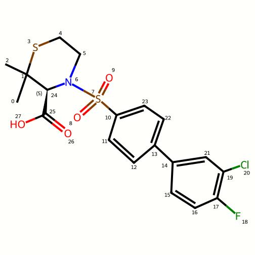 CC1(C)SCCN(S(=O)(=O)c2ccc(-c3ccc(F)c(Cl)c3)cc2)[C@H]1C(=O)O